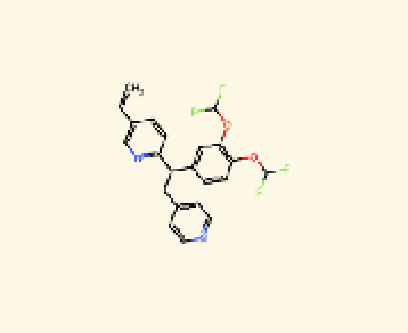 C=Cc1ccc(C(Cc2ccncc2)c2ccc(OC(F)F)c(OC(F)F)c2)nc1